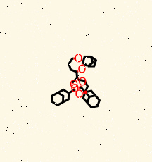 C1CC2CC(C1)CC(C1OCCCC(C3C4CCCC3CC(C3OCC(C5CCCOC6(CC7CCC6C7)O5)O3)C4)O1)C2